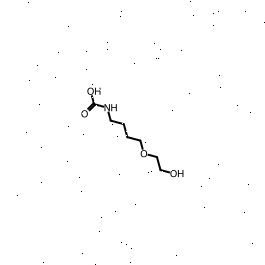 O=C(O)NCCCCOCCO